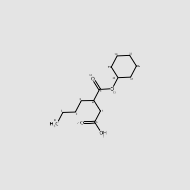 CCCCC(CC(=O)O)C(=O)OC1CCCCC1